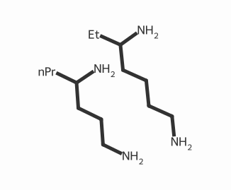 CCC(N)CCCCN.CCCC(N)CCCN